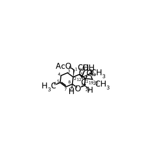 CC(=O)OC[C@]12CCC(C)=C[C@H]1O[C@@H]1C[C@@](C)(O)[C@@]2(C)[C@@]12O[C@@H]2C